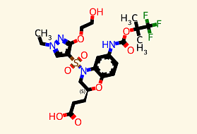 CCn1cc(S(=O)(=O)N2C[C@H](CCC(=O)O)Oc3ccc(NC(=O)OC(C)(C)C(F)(F)F)cc32)c(OCCO)n1